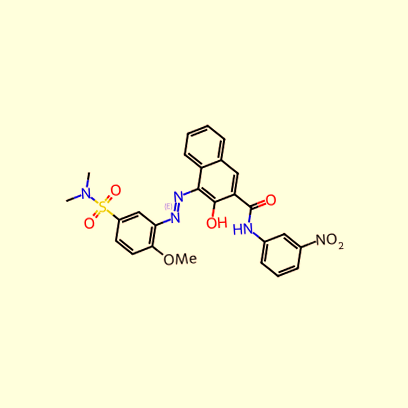 COc1ccc(S(=O)(=O)N(C)C)cc1/N=N/c1c(O)c(C(=O)Nc2cccc([N+](=O)[O-])c2)cc2ccccc12